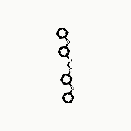 c1ccc(Oc2cccc(OCOc3cccc(Oc4ccccc4)c3)c2)cc1